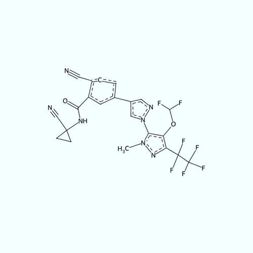 Cn1nc(C(F)(F)C(F)(F)F)c(OC(F)F)c1-n1cc(-c2ccc(C#N)c(C(=O)NC3(C#N)CC3)c2)cn1